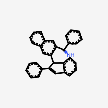 N=C(c1ccccc1)c1cc2ccccc2cc1C1C(c2ccccc2)=Cc2ccccc21